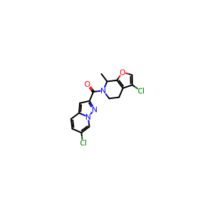 CC1c2occ(Cl)c2CCN1C(=O)c1cc2ccc(Cl)cn2n1